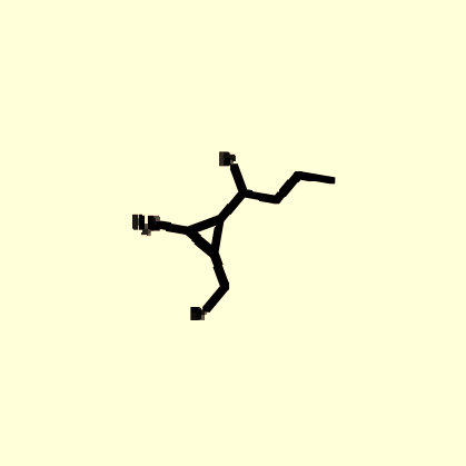 CCCC(Br)C1C(N)C1CBr